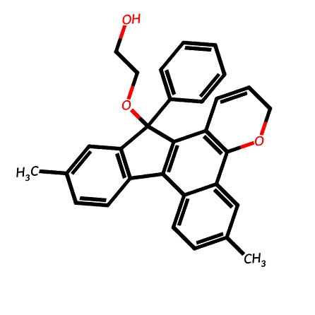 Cc1ccc2c(c1)C(OCCO)(c1ccccc1)c1c3c(c4cc(C)ccc4c1-2)OCC=C3